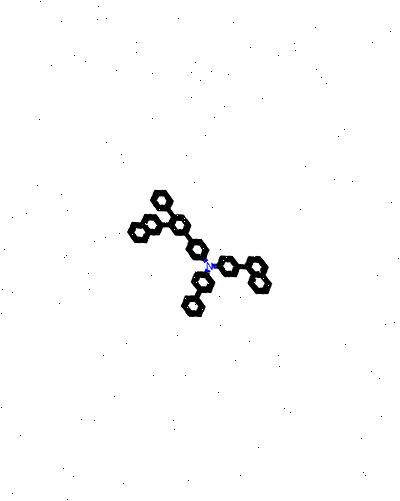 c1ccc(-c2ccc(N(c3ccc(-c4ccc(-c5ccccc5)c(-c5ccc6ccccc6c5)c4)cc3)c3ccc(-c4cccc5ccccc45)cc3)cc2)cc1